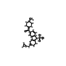 CCS(=O)(=O)C1C2=C(CN(CC3CC3)CC2)c2cc(C(=O)N3CCC(C)CC3)ccc21